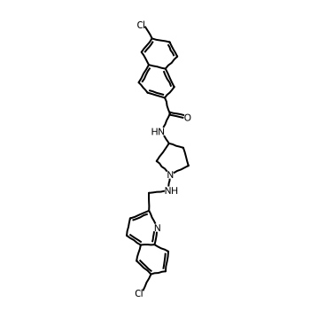 O=C(NC1CCN(NCc2ccc3cc(Cl)ccc3n2)C1)c1ccc2cc(Cl)ccc2c1